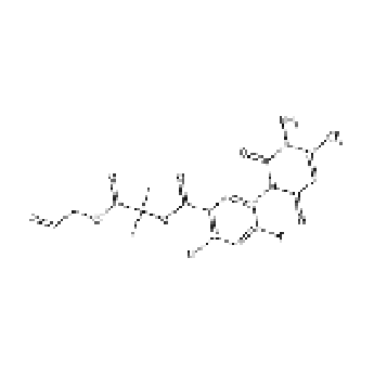 C=CCOC(=O)C(C)(C)OC(=O)c1cc(-n2c(=O)cc(C(F)(F)F)n(N)c2=O)c(F)cc1Cl